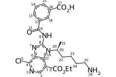 CCOC(=O)c1cnc(Cl)c2nc(NC(=O)c3cccc(C(=O)O)c3)n([C@@H](C)CCCCN)c12